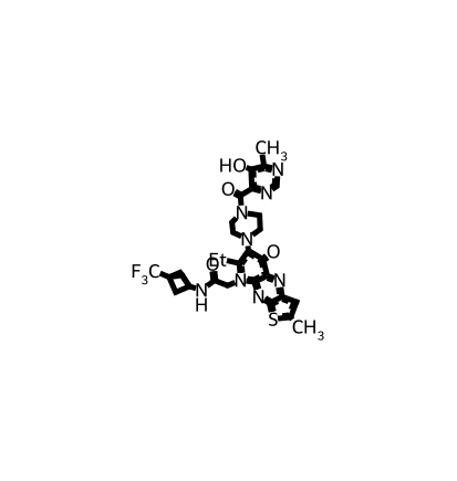 CCc1c(N2CCN(C(=O)c3ncnc(C)c3O)CC2)c(=O)c2nc3cc(C)sc3nc2n1CC(=O)NC12CC(C(F)(F)F)(C1)C2